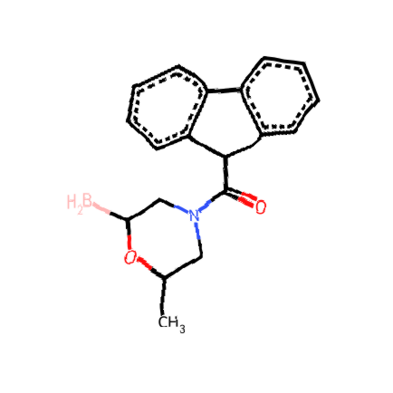 BC1CN(C(=O)C2c3ccccc3-c3ccccc32)CC(C)O1